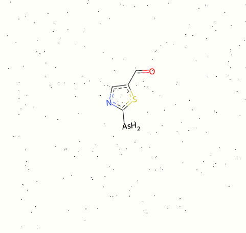 O=Cc1cnc([AsH2])s1